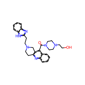 O=C(c1c2c(nc3ccccc13)CCN(CCc1nc3ccccc3[nH]1)C2)N1CCN(CCO)CC1